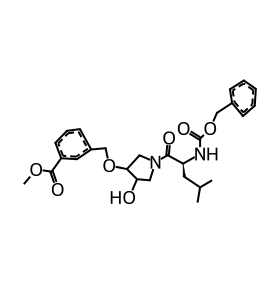 COC(=O)c1cccc(COC2CN(C(=O)[C@H](CC(C)C)NC(=O)OCc3ccccc3)CC2O)c1